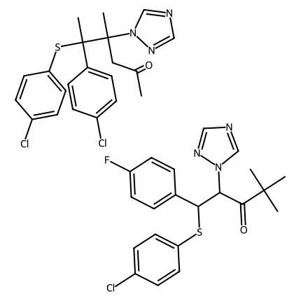 CC(=O)CC(C)(n1cncn1)C(C)(Sc1ccc(Cl)cc1)c1ccc(Cl)cc1.CC(C)(C)C(=O)C(C(Sc1ccc(Cl)cc1)c1ccc(F)cc1)n1cncn1